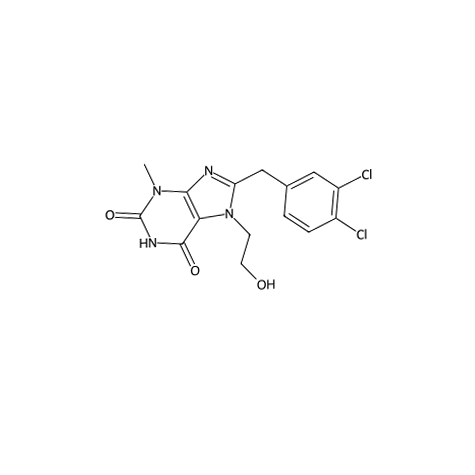 Cn1c(=O)[nH]c(=O)c2c1nc(Cc1ccc(Cl)c(Cl)c1)n2CCO